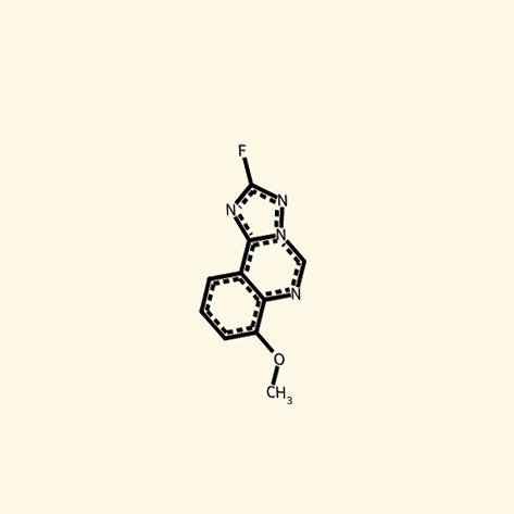 COc1cccc2c1ncn1nc(F)nc21